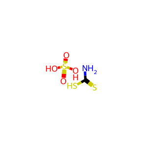 NC(=S)S.O=S(=O)(O)O